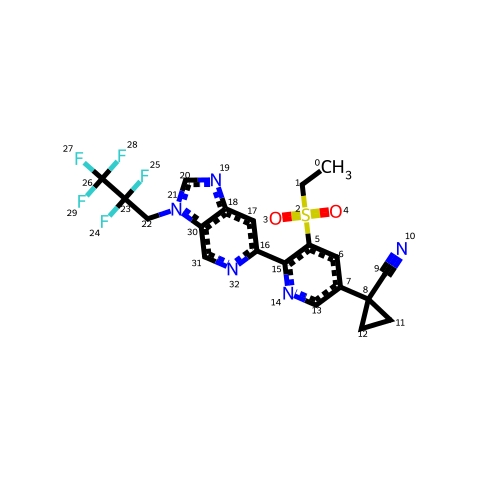 CCS(=O)(=O)c1cc(C2(C#N)CC2)cnc1-c1cc2ncn(CC(F)(F)C(F)(F)F)c2cn1